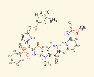 Cn1c2nc(C(c3ccn(COCC[Si](C)(C)C)n3)S(=O)(=O)c3ccccc3)sc2c2cnn(Cc3cccc(NC(=O)OC(C)(C)C)n3)c(=O)c21